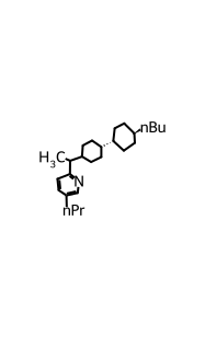 CCCC[C@H]1CC[C@H](C2CCC(C(C)c3ccc(CCC)cn3)CC2)CC1